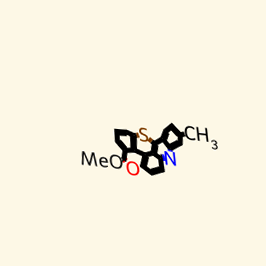 COC(=O)c1cccc2c1-c1cccc3nc4cc(C)ccc4c(c13)S2